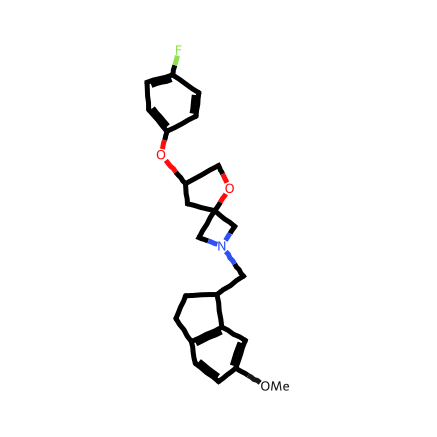 COc1ccc2c(c1)C(CN1CC3(CC(Oc4ccc(F)cc4)CO3)C1)CC2